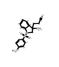 Cc1ccc(S(=O)(=O)N2CC(C)(CCC#N)c3ccccc32)cc1